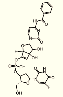 O=C(Nc1ccn([C@H]2O[C@H]3C(OP(=O)(O)OC4C[C@H](n5cc(F)c(=O)[nH]c5=O)O[C@@H]4CO)=CC3(O)C2O)c(=O)n1)c1ccccc1